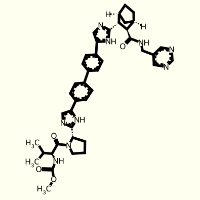 COC(=O)N[C@H](C(=O)N1CCC[C@H]1c1ncc(-c2ccc(-c3ccc(-c4cnc([C@@H]5[C@H]6CC[C@H](C6)[C@H]5C(=O)NCc5cncnc5)[nH]4)cc3)cc2)[nH]1)C(C)C